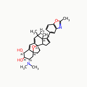 Cc1nc2cc(C3=CCC4[C@@]56CC[C@]7(C[C@H](N(C)C)[C@@H](O)[C@H](O)C7=CC5=CC(C)(C)[C@]34C)O6)ccc2o1